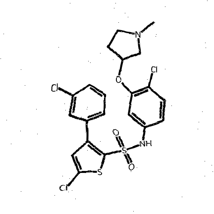 CN1CCC(Oc2cc(NS(=O)(=O)c3sc(Cl)cc3-c3cccc(Cl)c3)ccc2Cl)C1